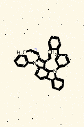 C=Cc1c(/C=C\C)n(-c2ccccc2)c2ccc3c4ccccc4n(-c4cccc(-c5ccccc5)c4)c3c12